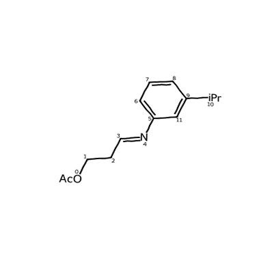 CC(=O)OCCC=Nc1cccc(C(C)C)c1